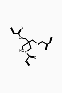 C=CC(=C)COCC(CO)(COC(=O)C=C)COC(=O)C=C